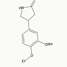 CCOc1ccc(C2CNC(=O)C2)cc1OC